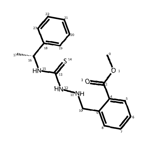 COC(=O)c1ccccc1CNNC(=S)N[C@H](C)c1ccccc1